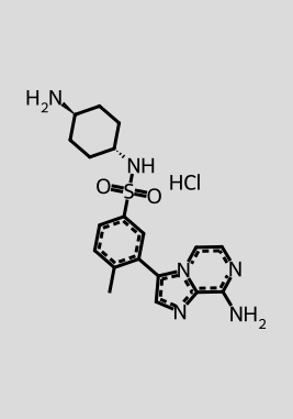 Cc1ccc(S(=O)(=O)N[C@H]2CC[C@H](N)CC2)cc1-c1cnc2c(N)nccn12.Cl